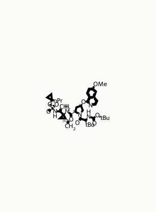 C=C[C@@H]1C[C@]1(NC(=O)[C@@H]1C[C@@H](Oc2nccc3cc(OC)ccc23)CN1C(=O)[C@@H](NC(=O)OC(C)(C)C)C(C)(C)C)C(=C)NS(=O)(=O)OC1(CCC)CC1